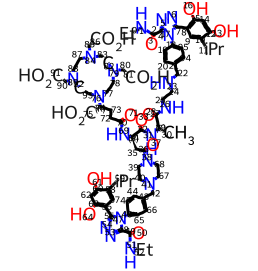 CCNC(=O)c1nnc(-c2cc(C(C)C)c(O)cc2O)n1-c1ccc(CNCCNC(=O)[C@H](C)NC(=O)[C@@H](CC(=O)N2CCN(Cc3ccc(-n4c(C(=O)NCC)nnc4-c4cc(C(C)C)c(O)cc4O)cc3)CC2)NC(=O)CC[C@H](C(=O)O)N2CCN(CC(=O)O)CCN(CC(=O)O)CCN(CC(=O)O)CC2)cc1